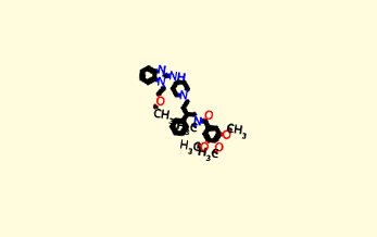 CCOCCn1c(NC2CCN(CCC(CN(C)C(=O)c3cc(OC)c(OC)c(OC)c3)c3ccccc3)CC2)nc2ccccc21